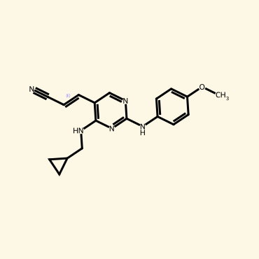 COc1ccc(Nc2ncc(/C=C/C#N)c(NCC3CC3)n2)cc1